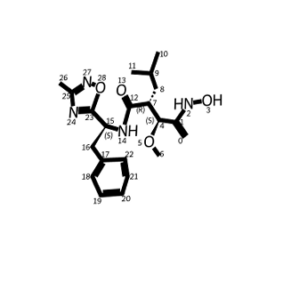 C=C(NO)[C@@H](OC)[C@@H](CC(C)C)C(=O)N[C@@H](Cc1ccccc1)c1nc(C)no1